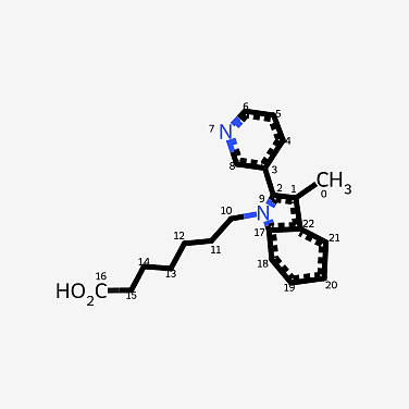 Cc1c(-c2cccnc2)n(CCCCCCC(=O)O)c2ccccc12